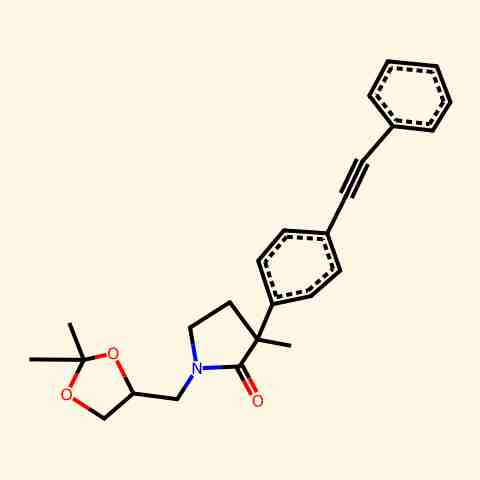 CC1(C)OCC(CN2CCC(C)(c3ccc(C#Cc4ccccc4)cc3)C2=O)O1